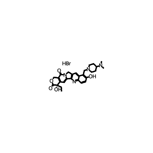 Br.CC[C@@]1(O)C(=O)OCc2c1cc1n(c2=O)Cc2cc3c(CN4CCC(N(C)C)CC4)c(O)ccc3nc2-1